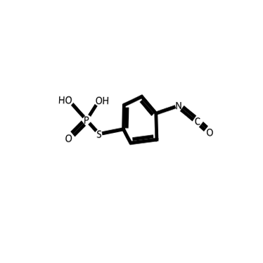 O=C=Nc1ccc(SP(=O)(O)O)cc1